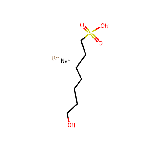 O=S(=O)(O)CCCCCCCO.[Br-].[Na+]